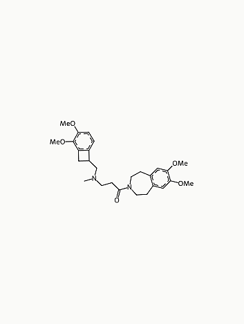 COc1cc2c(cc1OC)CCN(C(=O)CCN(C)CC1Cc3c1ccc(OC)c3OC)CC2